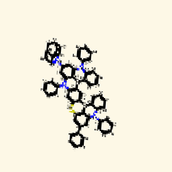 c1ccc(-c2cc3c4c(c2)N(c2ccccc2)c2ccccc2B4c2cc4c(cc2S3)N(c2ccccc2)c2cc(N3C5CC6CC(C5)CC3C6)cc3c2B4c2ccccc2N3c2ccccc2)cc1